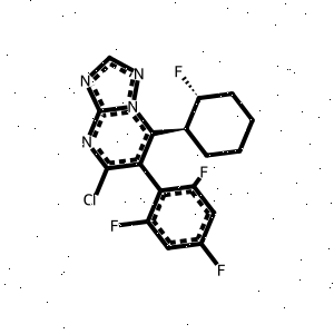 Fc1cc(F)c(-c2c(Cl)nc3ncnn3c2[C@@H]2CCCC[C@H]2F)c(F)c1